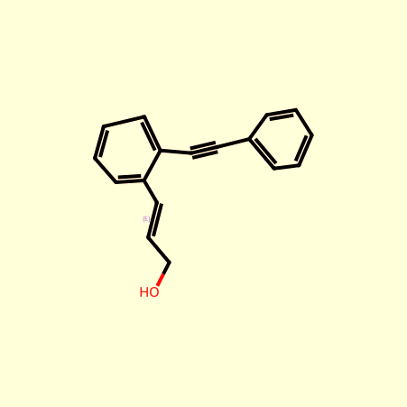 OC/C=C/c1ccccc1C#Cc1ccccc1